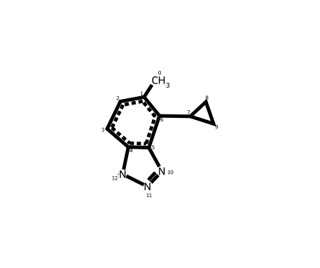 Cc1ccc2c(c1C1CC1)N=N[N]2